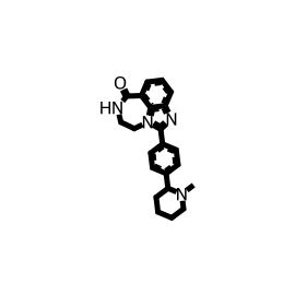 CN1CCCCC1c1ccc(-c2nc3cccc4c3n2CCNC4=O)cc1